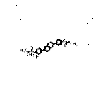 C=CC(=O)Sc1ccc(-c2ccc3cc(-c4ccc(SC(=O)C(=C)C)c(F)c4)ccc3c2)cc1